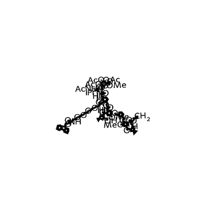 C=CCOC(=O)N1C[C@@H]2CC3(CC3)CC2C(=O)c2cc(OC)c(OCc3cccc(COc4cc(NC(=O)OCc5ccc(NC(=O)[C@H](CO[C@@H]6O[C@H](C(=O)OC)[C@@H](OC(C)=O)[C@H](OC(C)=O)[C@H]6OC(C)=O)NC(=O)[C@@H](NC(C)=O)C(C)C)cc5NC(=O)CCOCCOCCOCCOCCNC(=O)OCC5c6ccccc6-c6ccccc65)c(C(=O)N5CC6(CC6)C[C@H]5CO)cc4OC)c3)cc21